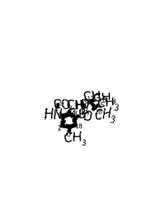 Cc1cc(NC(=O)O)c(C)c(B2OC(C)(C)C(C)(C)O2)c1